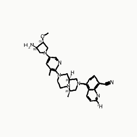 [2H]c1ccc2c(N3C[C@@H]4CN(c5ncc(N6C[C@@H](N)[C@@H](OC)C6)cc5C)CCN4[C@H](C)C3)ccc(C#N)c2n1